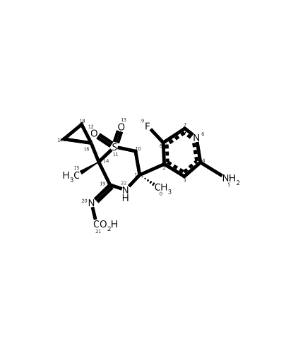 C[C@@]1(c2cc(N)ncc2F)CS(=O)(=O)[C@@](C)(C2CC2)/C(=N/C(=O)O)N1